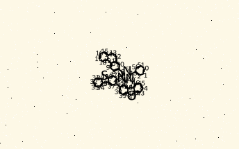 c1ccc(-c2nc(-c3ccc4c(ccc5ccccc54)c3)nc(-c3c(-c4ccc5sc6ccccc6c5c4)ccc4oc5ccccc5c34)n2)cc1